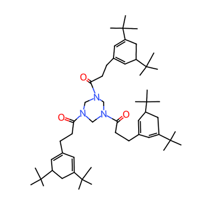 CC(C)(C)C1=CC(CCC(=O)N2CN(C(=O)CCC3=CC(C(C)(C)C)CC(C(C)(C)C)=C3)CN(C(=O)CCC3=CC(C(C)(C)C)CC(C(C)(C)C)=C3)C2)=CC(C(C)(C)C)C1